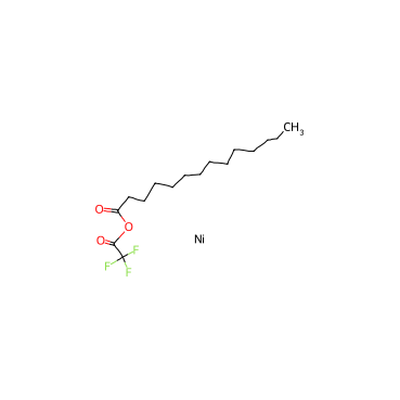 CCCCCCCCCCCCCC(=O)OC(=O)C(F)(F)F.[Ni]